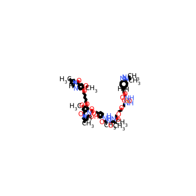 COc1cc2c(cc1OCCCCCOc1cc3c(cc1OC)C(=O)N1C=C(C)C[C@H]1[C@H](O)N3C(=O)OCc1ccc(NC(=O)[C@H](C)NC(=O)[C@@H](NC(=O)COCCOCCNS(=O)(=O)NC(=O)OC[C@@H]3[C@@H]4CCc5c(nnn5C(C)C)CC[C@@H]43)C(C)C)cc1)N=C[C@@H]1CC(C)=CN1C2=O